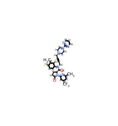 Cc1cc(C(F)(F)F)cc(N2C(=O)CC[C@H]2C(=O)N(CC#CCN2CCN(c3ncccn3)CC2)c2ccc(F)c(C)c2F)n1